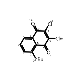 CCCCc1cccc2c1C(=O)C(Cl)=C(Cl)C2=O